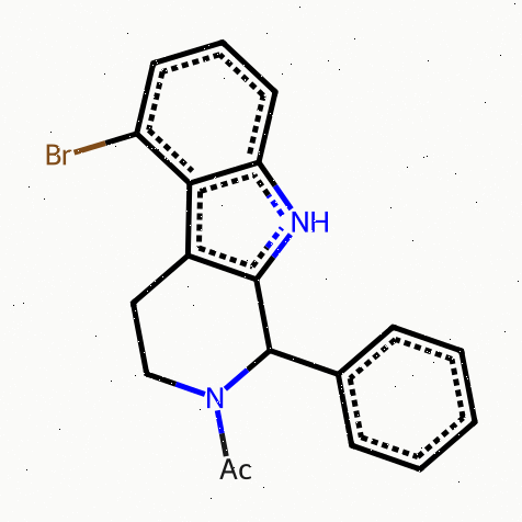 CC(=O)N1CCc2c([nH]c3cccc(Br)c23)C1c1ccccc1